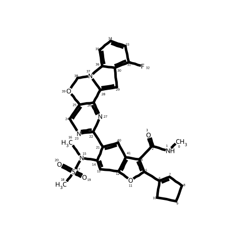 CNC(=O)c1c(C2=CCCC2)oc2cc(N(C)S(C)(=O)=O)c(-c3ncc4c(n3)-c3cc5c(F)cccc5n3CO4)cc12